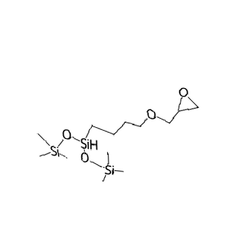 C[Si](C)(C)O[SiH](CCCCOCC1CO1)O[Si](C)(C)C